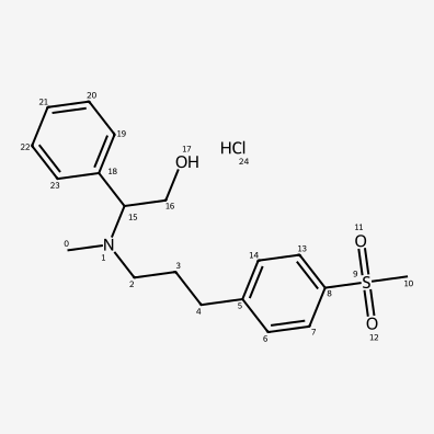 CN(CCCc1ccc(S(C)(=O)=O)cc1)C(CO)c1ccccc1.Cl